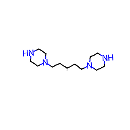 [CH](CCN1CCNCC1)CCN1CCNCC1